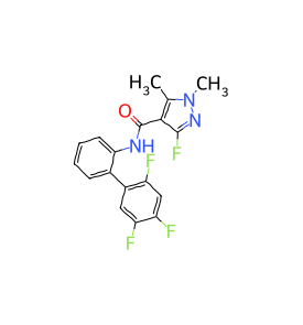 Cc1c(C(=O)Nc2ccccc2-c2cc(F)c(F)cc2F)c(F)nn1C